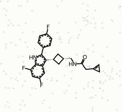 O=C(CC1=CC1)NC[C@H]1C[C@@H](c2c(-c3ccc(F)cc3)[nH]c3c(F)cc(F)cc32)C1